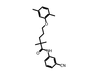 Cc1ccc(C)c(OCCCC(C)(C)C(=O)Nc2cccc(C#N)c2)c1